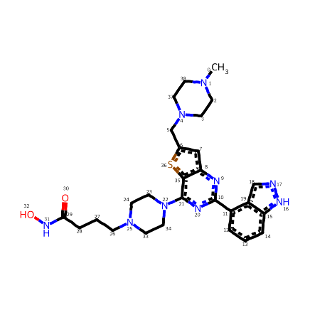 CN1CCN(Cc2cc3nc(-c4cccc5[nH]ncc45)nc(N4CCN(CCCC(=O)NO)CC4)c3s2)CC1